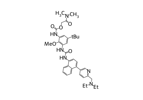 CCN(CC)Cc1ccc(-c2ccc(NC(=O)Nc3cc(C(C)(C)C)cc(NC(=O)OCC(=O)N(C)C)c3OC)c3ccccc23)cn1